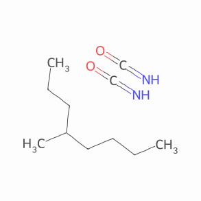 CCCCC(C)CCC.N=C=O.N=C=O